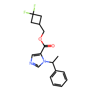 CC(c1ccccc1)n1cncc1C(=O)OCC1CC(F)(F)C1